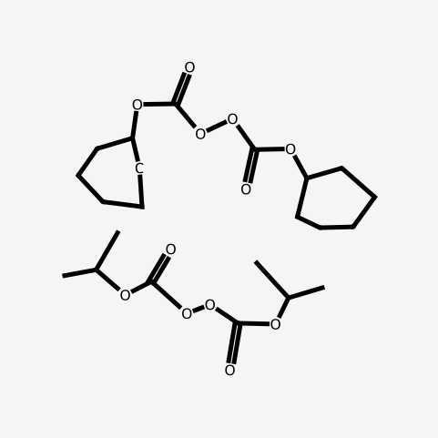 CC(C)OC(=O)OOC(=O)OC(C)C.O=C(OOC(=O)OC1CCCCC1)OC1CCCCC1